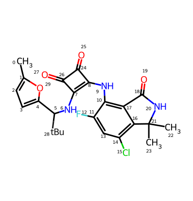 Cc1ccc(C(Nc2c(Nc3c(F)cc(Cl)c4c3C(=O)NC4(C)C)c(=O)c2=O)C(C)(C)C)o1